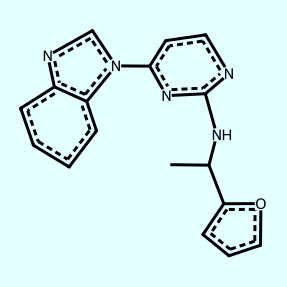 CC(Nc1nccc(-n2cnc3ccccc32)n1)c1ccco1